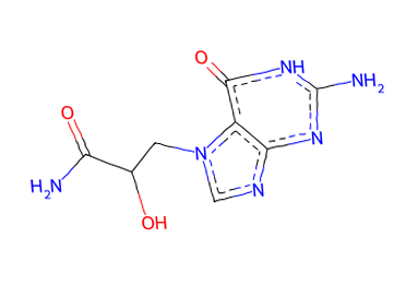 NC(=O)C(O)Cn1cnc2nc(N)[nH]c(=O)c21